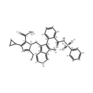 CCc1nc(C2CC2)c(C(N)=O)n1Cc1c2ccocc-2c(Br)c1-c1ccccc1C(=O)NS(=O)(=O)c1ccccc1